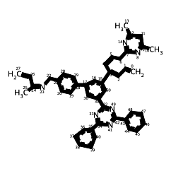 C=C/C=C(\C=C/Cc1nc(C)cc(C)n1)c1cc(-c2ccc(C/N=C(/C)C=C)cc2)cc(-c2nc(-c3ccccc3)nc(-c3ccccc3)n2)c1